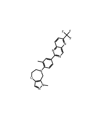 Cc1cc(-c2ncc3nc(C(F)(F)F)ccc3n2)ccc1N1CCOc2cnn(C)c2C1